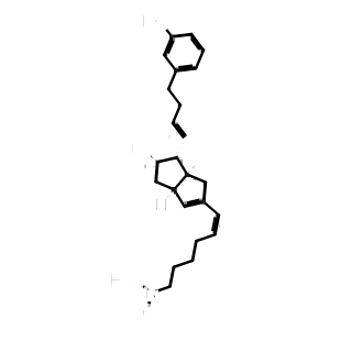 Cc1cccc(CC/C=C/[C@@H]2[C@H]3CC(/C=C\CCCCN(C)C)=C[C@H]3C[C@H]2O)c1